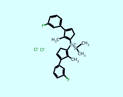 CC1=[C]([Zr+2]([C]2=C(C)C(c3cccc(F)c3)=CC2)=[Si](C)C)CC=C1c1cccc(F)c1.[Cl-].[Cl-]